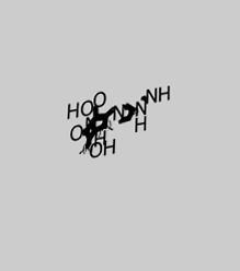 C[C@@H](O)C1C(=O)N2C(C(=O)O)=C(CN3CC[C@H](NC=N)C3)[C@H](C)[C@H]12